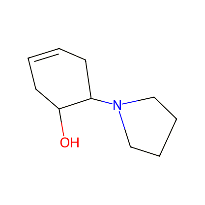 OC1CC=CCC1N1CCCC1